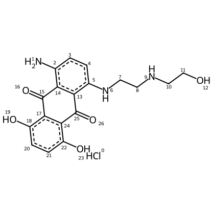 Cl.Nc1ccc(NCCNCCO)c2c1C(=O)c1c(O)ccc(O)c1C2=O